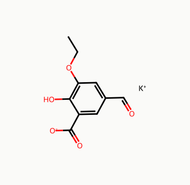 CCOc1cc(C=O)cc(C(=O)[O-])c1O.[K+]